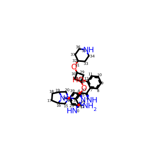 N=C(N)/C(=C\C(=N)c1ccccc1O)N1CC2CCC(C1)N2c1ccnc(OC2CC(OC3CCNCC3)C2)c1